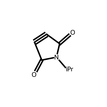 CC(C)N1C(=O)C#CC1=O